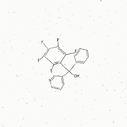 OC(c1ccccc1)(c1cccnc1)c1c(F)c(F)c(F)c(F)c1F